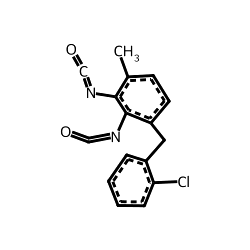 Cc1ccc(Cc2ccccc2Cl)c(N=C=O)c1N=C=O